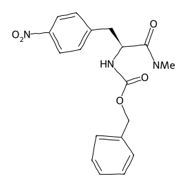 CNC(=O)[C@H](Cc1ccc([N+](=O)[O-])cc1)NC(=O)OCc1ccccc1